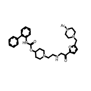 CC(=O)N1CCN(Cc2ccc(C(=O)CNCCN3CCC(OC(=O)Nc4ccccc4-c4ccccc4)CC3)o2)CC1